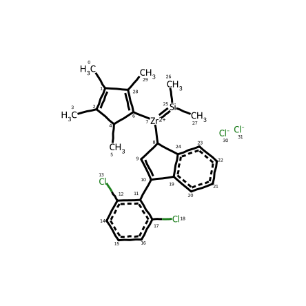 CC1=C(C)C(C)[C]([Zr+2]([CH]2C=C(c3c(Cl)cccc3Cl)c3ccccc32)=[Si](C)C)=C1C.[Cl-].[Cl-]